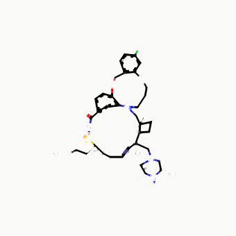 COCC[C@@H]1[C@@H](C)C/C=C/[C@@](CN2C[C@@H](C)N(C)[C@@H](C)C2)(OC)[C@@H]2CC[C@H]2CN2CCCCc3cc(Cl)ccc3COc3ccc(cc32)C(=O)NS1(=O)=O